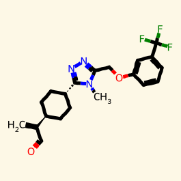 C=C(C=O)[C@H]1CC[C@H](c2nnc(COc3cccc(C(F)(F)F)c3)n2C)CC1